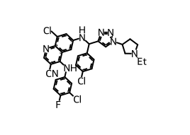 CCN1CCC(n2cc(C(Nc3cc(Cl)c4ncc(C#N)c(Nc5ccc(F)c(Cl)c5)c4c3)c3ccc(Cl)cc3)nn2)C1